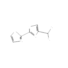 NC(N)c1csc(-c2nccs2)n1